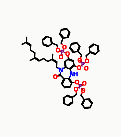 CC(C)=CCCC(C)=CCCC(C)=CCN1C(=O)c2cccc(OP(=O)(OCc3ccccc3)OCc3ccccc3)c2Nc2c(OP(=O)(OCc3ccccc3)OCc3ccccc3)cc(OP(=O)(OCc3ccccc3)OCc3ccccc3)cc21